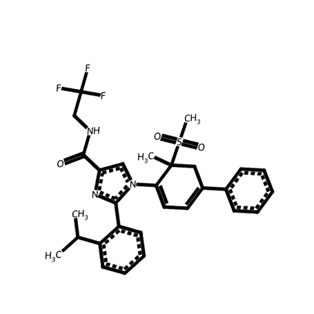 CC(C)c1ccccc1-c1nc(C(=O)NCC(F)(F)F)cn1C1=CC=C(c2ccccc2)CC1(C)S(C)(=O)=O